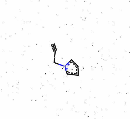 [C]#CCn1cccc1